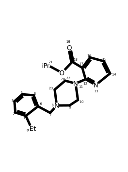 CCc1ccccc1CN1CCN(c2ncccc2C(=O)OC(C)C)CC1